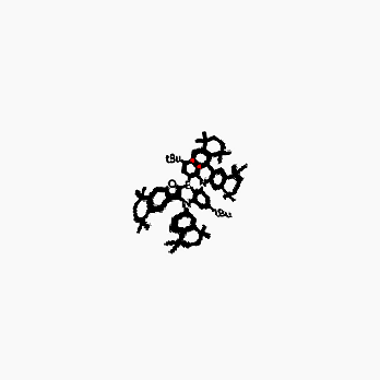 CC(C)(C)c1ccc2c(c1)B1c3oc4cc5c(cc4c3N(c3ccc4c(c3)C(C)(C)CCC4(C)C)c3cc(C(C)(C)C)cc(c31)N2c1cc2c(cc1-c1cccc3c1C(C)(C)CCC3(C)C)C(C)(C)CCC2(C)C)C(C)(C)CCC5(C)C